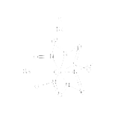 O=[N+]([O-])[Co-3]([N+](=O)[O-])([N+](=O)[O-])([N+](=O)[O-])([N+](=O)[O-])[N+](=O)[O-].[K+].[Na+].[Na+]